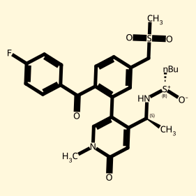 CCCC[S@+]([O-])N[C@@H](C)c1cc(=O)n(C)cc1-c1cc(CS(C)(=O)=O)ccc1C(=O)c1ccc(F)cc1